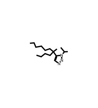 CCCCCCC(C)(CCCC)c1cnnn1C(C)C